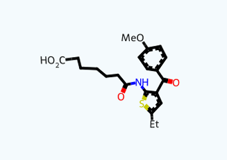 CCc1cc(C(=O)c2ccc(OC)cc2)c(NC(=O)CCCCCC(=O)O)s1